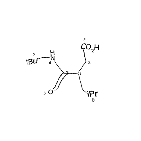 CC(C)C(CC(=O)O)C(=O)NC(C)(C)C